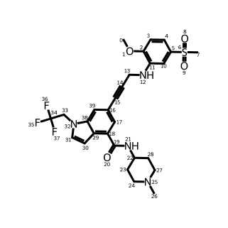 COc1ccc(S(C)(=O)=O)cc1NCC#Cc1cc(C(=O)NC2CCN(C)CC2)c2ccn(CC(F)(F)F)c2c1